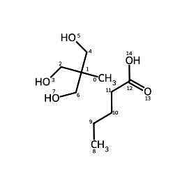 CC(CO)(CO)CO.CCCCC(=O)O